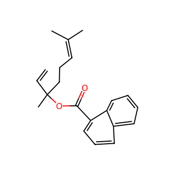 C=CC(C)(CCC=C(C)C)OC(=O)c1cccc2ccccc12